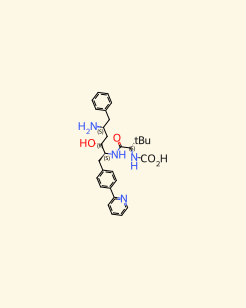 CC(C)(C)[C@H](NC(=O)O)C(=O)N[C@@H](Cc1ccc(-c2ccccn2)cc1)[C@H](O)C[C@@H](N)Cc1ccccc1